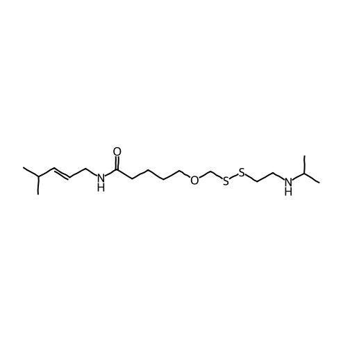 CC(C)/C=C/CNC(=O)CCCCOCSSCCNC(C)C